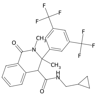 CN1C(=O)c2ccccc2C(C(=O)NCC2CC2)C1(C)c1cc(C(F)(F)F)cc(C(F)(F)F)c1